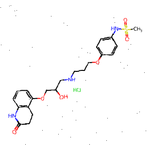 CS(=O)(=O)Nc1ccc(OCCCNCC(O)COc2cccc3c2CCC(=O)N3)cc1.Cl